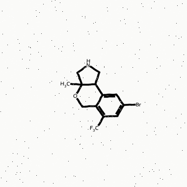 CC12CNCC1c1cc(Br)cc(C(F)(F)F)c1CO2